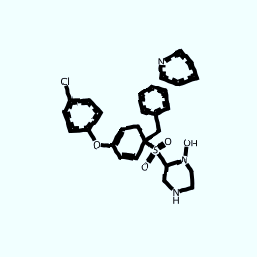 O=S(=O)(C1CNCCN1O)C1(Cc2ccccc2)C=CC(Oc2ccc(Cl)cc2)=CC1.c1ccncc1